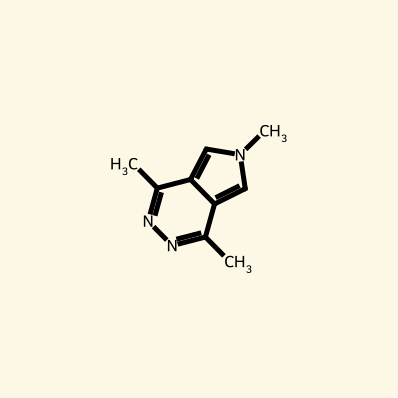 Cc1nnc(C)c2cn(C)cc12